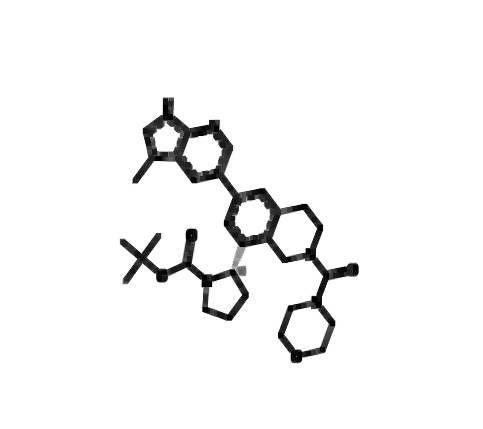 Cc1c[nH]c2ncc(-c3cc4c(c([C@@H]5CCCN5C(=O)OC(C)(C)C)c3)CN(C(=O)N3CCOCC3)CC4)cc12